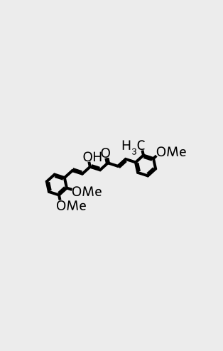 COc1cccc(/C=C/C(=O)/C=C(O)/C=C/c2cccc(OC)c2OC)c1C